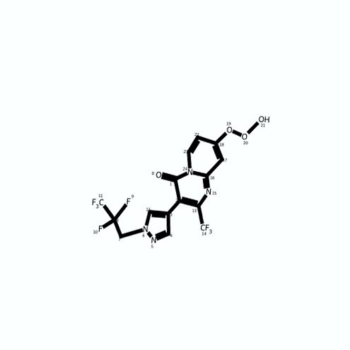 O=c1c(-c2cnn(CC(F)(F)C(F)(F)F)c2)c(C(F)(F)F)nc2cc(OOO)ccn12